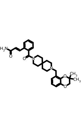 CC1(C)COc2cccc(CN3CCC4(CC3)CCN(C(=O)c3ccccc3C=CC(N)=O)CC4)c2O1